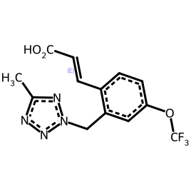 Cc1nnn(Cc2cc(OC(F)(F)F)ccc2/C=C/C(=O)O)n1